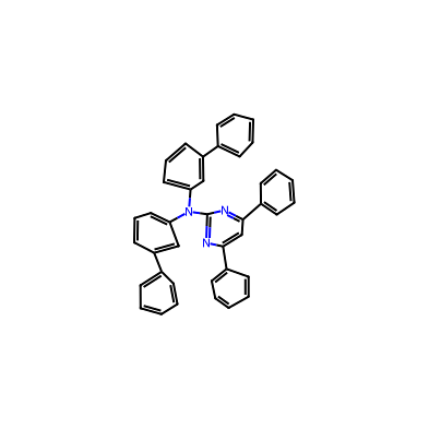 c1ccc(-c2cccc(N(c3cccc(-c4ccccc4)c3)c3nc(-c4ccccc4)cc(-c4ccccc4)n3)c2)cc1